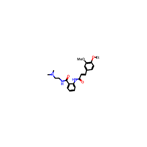 CCOc1ccc(C=CC(=O)Nc2ccccc2C(=O)NCCN(C)C)cc1OC